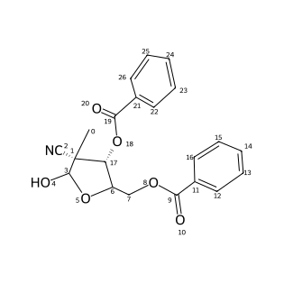 C[C@]1(C#N)C(O)OC(COC(=O)c2ccccc2)[C@H]1OC(=O)c1ccccc1